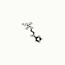 CS(=O)(=O)OCCNc1cn[c]s1